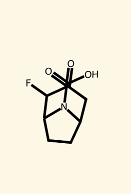 O=C1CC2CCC(C1F)N2C(=O)O